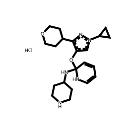 C1=CNC(NC2CCNCC2)(Oc2cn(C3CC3)nc2C2CCOCC2)C=C1.Cl